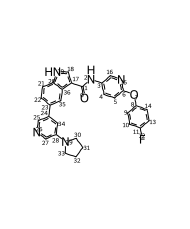 O=C(Nc1ccc(Oc2ccc(F)cc2)nc1)c1c[nH]c2ccc(-c3cncc(N4CCCC4)c3)cc12